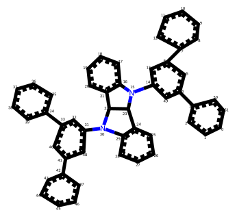 c1ccc(-c2cc(-c3ccccc3)cc(N3c4ccccc4C4C3c3ccccc3N4c3cc(-c4ccccc4)cc(-c4ccccc4)c3)c2)cc1